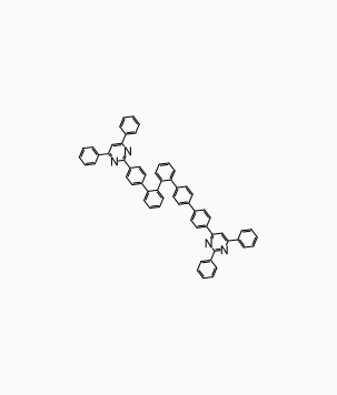 c1ccc(-c2cc(-c3ccc(-c4ccc(-c5ccccc5-c5ccccc5-c5ccc(-c6nc(-c7ccccc7)cc(-c7ccccc7)n6)cc5)cc4)cc3)nc(-c3ccccc3)n2)cc1